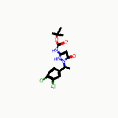 CC(c1ccc(Cl)c(Cl)c1)n1[nH]c(NC(=O)OC(C)(C)C)cc1=O